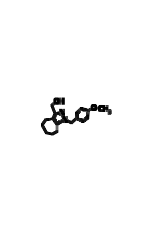 COc1ccc(Cn2nc(CO)c3c2CCCCC3)cc1